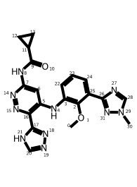 COc1c(Nc2cc(NC(=O)C3CC3)nnc2-c2nnc[nH]2)cccc1-c1ncn(C)n1